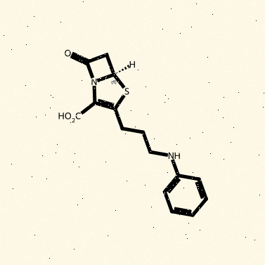 O=C(O)C1=C(CCCNc2ccccc2)S[C@@H]2CC(=O)N12